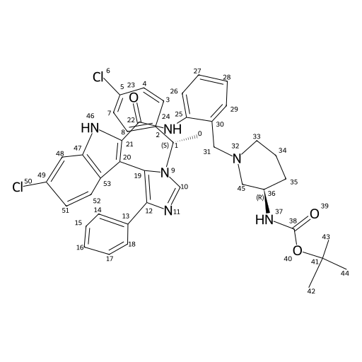 C[C@@H](c1ccc(Cl)cc1)n1cnc(-c2ccccc2)c1-c1c(C(=O)Nc2ccccc2CN2CCC[C@@H](NC(=O)OC(C)(C)C)C2)[nH]c2cc(Cl)ccc12